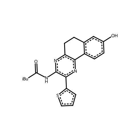 CCC(C)C(=O)Nc1nc2c(nc1-c1cccs1)-c1ccc(O)cc1CC2